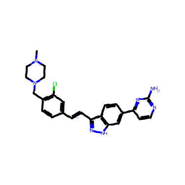 CN1CCN(Cc2ccc(/C=C/c3n[nH]c4cc(-c5ccnc(N)n5)ccc34)cc2Cl)CC1